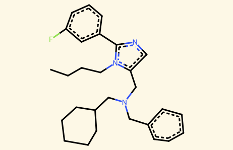 CCCCn1c(CN(Cc2ccccc2)CC2CCCCC2)cnc1-c1cccc(F)c1